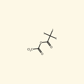 O=C(OC(=O)C(I)(I)I)C(Cl)(Cl)Cl